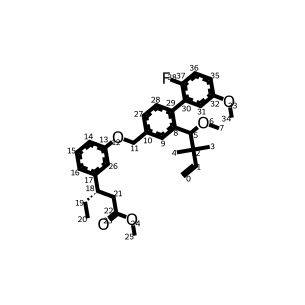 C=CC(C)(C)C(OC)c1cc(COc2cccc([C@@H](CC)CC(=O)OC)c2)ccc1-c1cc(OC)ccc1F